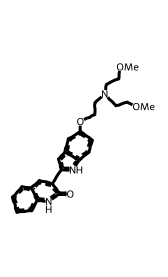 COCCN(CCOC)CCOc1ccc2[nH]c(-c3cc4ccccc4[nH]c3=O)cc2c1